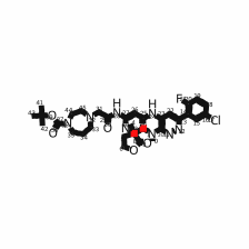 CN(CC1(C)CCOC1=O)c1nnc(-c2cc(Cl)ccc2F)cc1Nc1cc(NC(=O)CN2CCCN(C(=O)OC(C)(C)C)CC2)ncn1